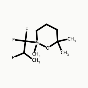 CC(F)C(F)(F)[Si]1(C)CCCC(C)(C)O1